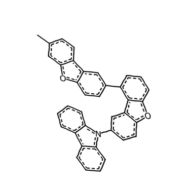 Cc1ccc2c(c1)oc1ccc(-c3cccc4oc5ccc(-n6c7ccccc7c7ccccc76)cc5c34)cc12